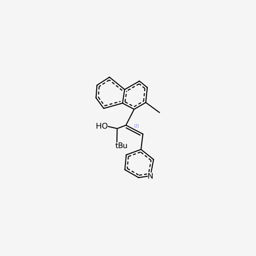 Cc1ccc2ccccc2c1/C(=C/c1cccnc1)C(O)C(C)(C)C